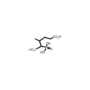 CC(CCC(=O)O)C(C(=O)O)P(=O)(O)O